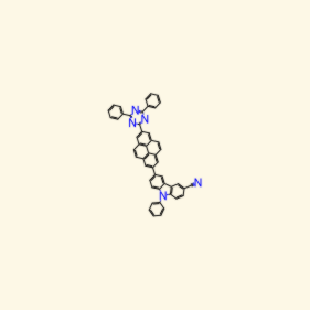 N#Cc1ccc2c(c1)c1cc(-c3cc4ccc5cc(-c6nc(-c7ccccc7)nc(-c7ccccc7)n6)cc6ccc(c3)c4c56)ccc1n2-c1ccccc1